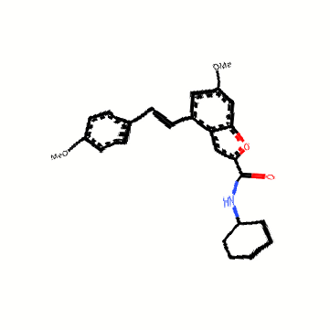 COc1ccc(/C=C/c2cc(OC)cc3oc(C(=O)NC4CCCCC4)cc23)cc1